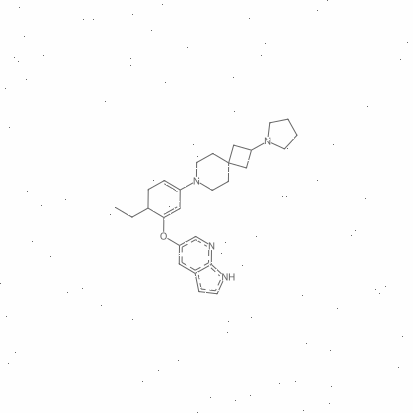 CCC1CC=C(N2CCC3(CC2)CC(N2CCCC2)C3)C=C1Oc1cnc2[nH]ccc2c1